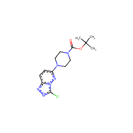 CC(C)(C)OC(=O)N1CCN(c2ccc3nnc(Cl)n3n2)CC1